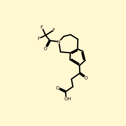 O=C(O)CCC(=O)c1ccc2c(c1)CN(C(=O)C(F)(F)F)CCC2